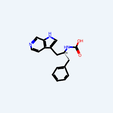 O=C(O)N[C@H](Cc1ccccc1)Cc1c[nH]c2cnccc12